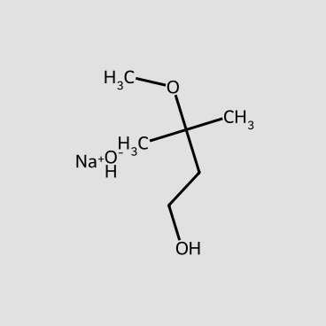 COC(C)(C)CCO.[Na+].[OH-]